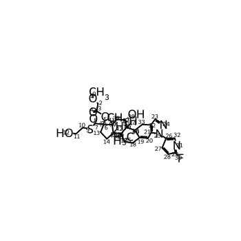 COCC(=O)O[C@]1(C(=O)SCCO)CC[C@H]2[C@@H]3CCC4=Cc5c(cnn5-c5ccc(F)nc5)C[C@]4(C)[C@H]3[C@@H](O)C[C@@]21C